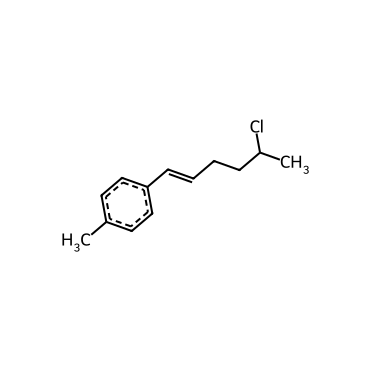 Cc1ccc(C=CCCC(C)Cl)cc1